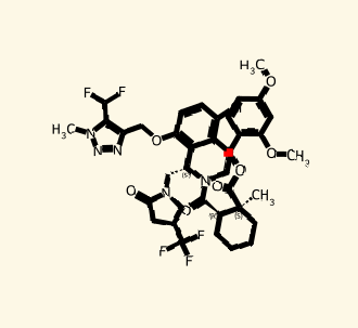 COc1ccc(COC(=O)[C@@]2(C)CCCC[C@H]2C(=O)N2CCc3c(Cl)ccc(OCc4nnn(C)c4C(F)F)c3[C@H]2CN2CC(C(F)(F)F)CC2=O)c(OC)c1